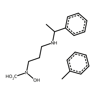 CC(NCCCN(O)C(=O)O)c1ccccc1.Cc1ccccc1